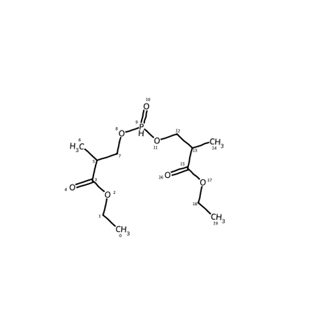 CCOC(=O)C(C)CO[PH](=O)OCC(C)C(=O)OCC